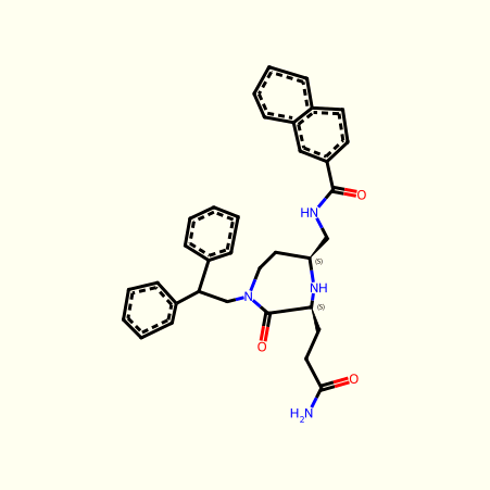 NC(=O)CC[C@@H]1N[C@H](CNC(=O)c2ccc3ccccc3c2)CCN(CC(c2ccccc2)c2ccccc2)C1=O